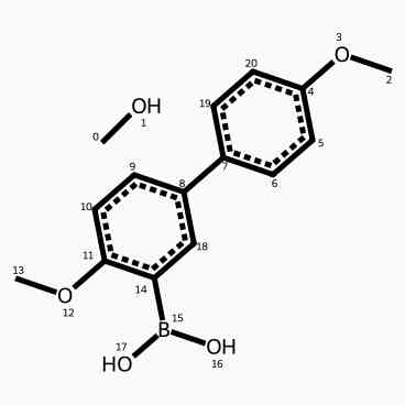 CO.COc1ccc(-c2ccc(OC)c(B(O)O)c2)cc1